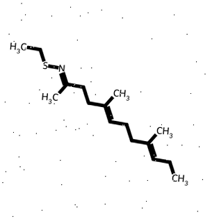 CC/C=C(\C)CC/C=C(\C)CC/C(C)=N/SCC